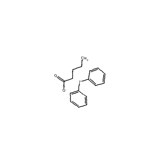 CCCCC(=O)[O-].c1ccc([I+]c2ccccc2)cc1